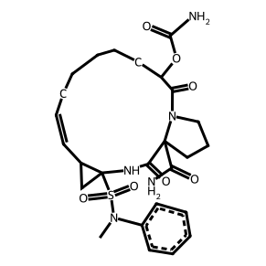 CN(c1ccccc1)S(=O)(=O)C12CC1C=CCCCCCC(OC(N)=O)C(=O)N1CCCC1(C(N)=O)C(=O)N2